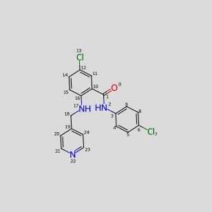 O=C(Nc1ccc(Cl)cc1)c1cc(Cl)ccc1NCc1ccncc1